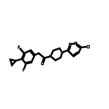 O=C(Cc1cc(F)c(C2CC2)c(F)c1)N1CCN(c2ccc(Cl)nn2)CC1